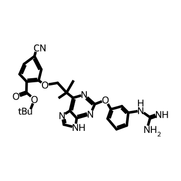 CC(C)(C)OC(=O)c1ccc(C#N)cc1OCC(C)(C)c1nc(Oc2cccc(NC(=N)N)c2)nc2[nH]cnc12